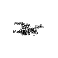 COc1ccc(C(OC[C@@H]2O[C@@H](n3cc(C)c(=O)n(CC=C(C)CCC=C(C)C)c3=O)C[C@H]2C(C#N)COP(O)N(C(C)C)C(C)C)(c2ccccc2)c2ccc(OC)cc2)cc1